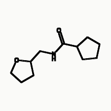 O=C(NCC1CCCO1)C1CCCC1